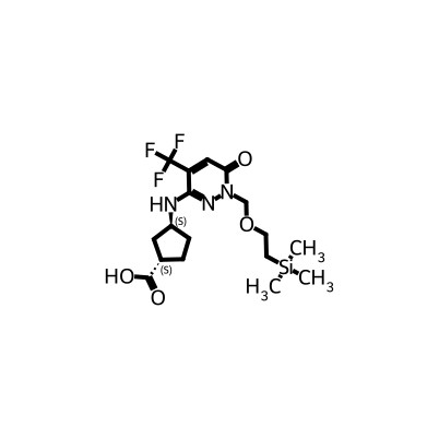 C[Si](C)(C)CCOCn1nc(N[C@H]2CC[C@H](C(=O)O)C2)c(C(F)(F)F)cc1=O